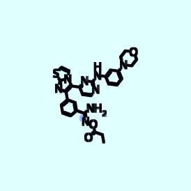 CCC(=O)O/N=C(\N)c1cccc(-c2nc3sccn3c2-c2ccnc(Nc3cccc(N4CCOCC4)c3)n2)c1